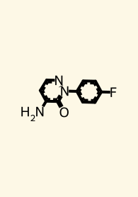 Nc1ccnn(-c2ccc(F)cc2)c1=O